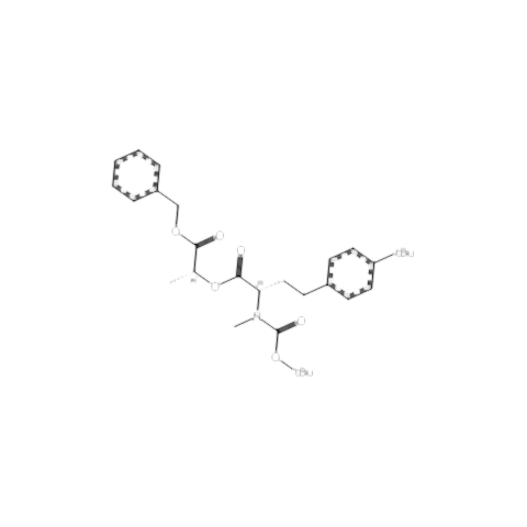 C[C@@H](OC(=O)[C@H](CCc1ccc(C(C)(C)C)cc1)N(C)C(=O)OC(C)(C)C)C(=O)OCc1ccccc1